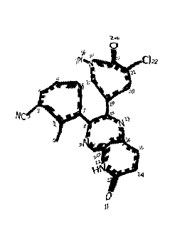 Cc1c(C#N)cccc1-c1nc2[nH]c(=O)ccc2nc1-c1cc(Cl)c(=O)n(C(C)C)c1